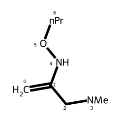 C=C(CNC)NOCCC